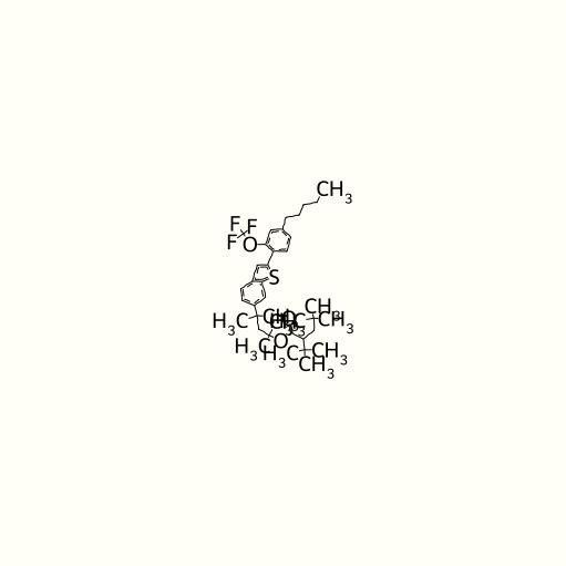 CCCCCc1ccc(-c2cc3ccc(C(C)(C)CC(C)(C)OC(=O)C(CC(C)(C)C)C(C)(C)C)cc3s2)c(OC(F)(F)F)c1